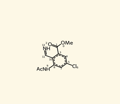 COC(=O)c1cc(Cl)cc(NC(C)=O)c1C=N